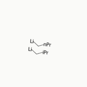 [Li][CH2]C(C)C.[Li][CH2]CCC